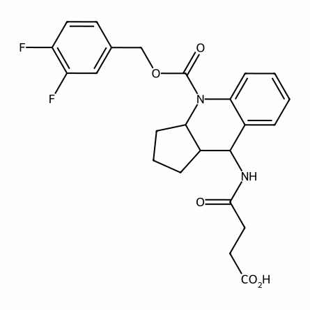 O=C(O)CCC(=O)NC1c2ccccc2N(C(=O)OCc2ccc(F)c(F)c2)C2CCCC12